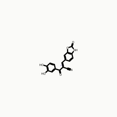 N#C/C(=C\c1ccc2[nH]c(=O)oc2c1)C(=O)c1ccc(O)c(O)c1